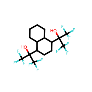 OC(C1CCC(C(O)(C(F)(F)F)C(F)(F)F)C2CCCCC21)(C(F)(F)F)C(F)(F)F